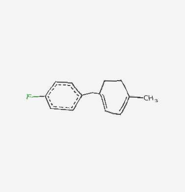 CC1=CC=C(c2ccc(F)cc2)CC1